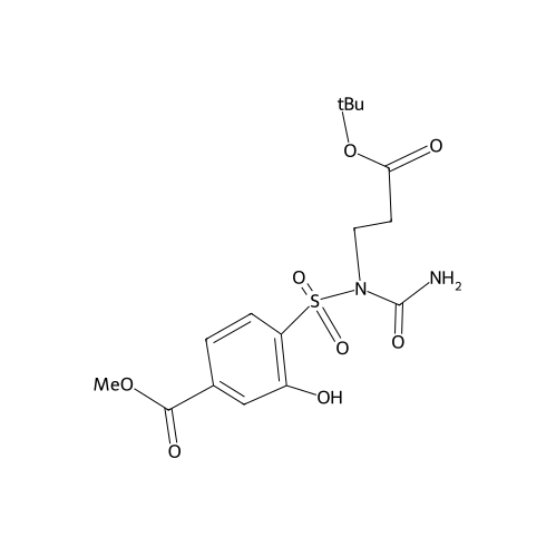 COC(=O)c1ccc(S(=O)(=O)N(CCC(=O)OC(C)(C)C)C(N)=O)c(O)c1